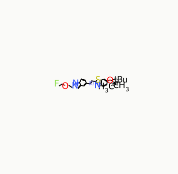 CC(C)(C)[Si](C)(C)Oc1ccc2nc(/C=C/c3ccc4nn(CCOCCF)cc4c3)sc2c1